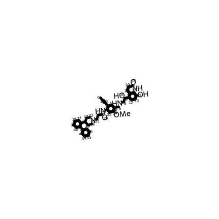 CC#Cc1cc(CNC[C@H](O)c2ccc(O)c3[nH]c(=O)ccc23)c(OC)cc1NC(=O)CCN1CCC(c2ccccc2-c2ccccc2)CC1